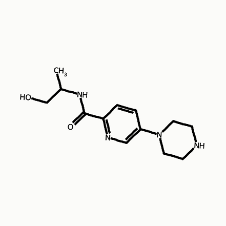 CC(CO)NC(=O)c1ccc(N2CCNCC2)cn1